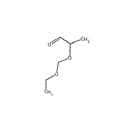 [CH2]C(C=O)OCOCC